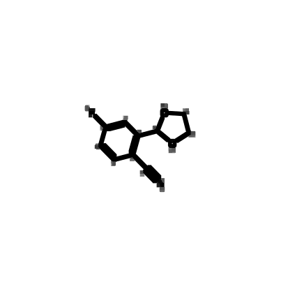 N#Cc1ccc(F)cc1C1OCCO1